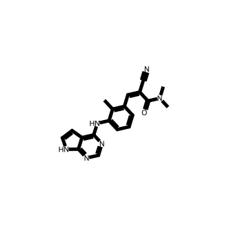 Cc1c(C=C(C#N)C(=O)N(C)C)cccc1Nc1ncnc2[nH]ccc12